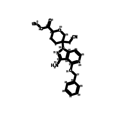 CC(C)(C)OC(=O)C1CCC(CC#N)(n2nc(N)c3c(OCc4ccccc4)nccc32)CO1